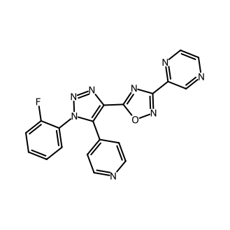 Fc1ccccc1-n1nnc(-c2nc(-c3cnccn3)no2)c1-c1ccncc1